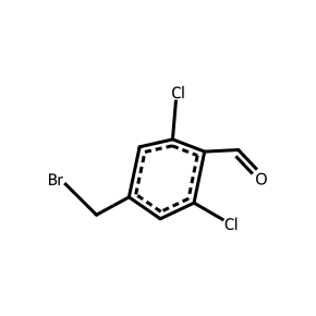 O=Cc1c(Cl)cc(CBr)cc1Cl